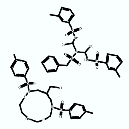 CCC(NS(=O)(=O)c1cccc(C)c1)N(C(CC)NS(=O)(=O)c1cccc(C)c1)S(=O)(=O)Cc1ccccc1.Cc1ccc(S(=O)(=O)N2CCCNCCCN(S(=O)(=O)c3ccc(C)cc3)CC(CCl)C2)cc1